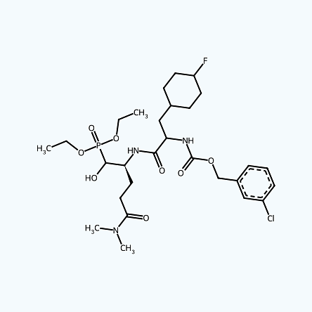 CCOP(=O)(OCC)C(O)[C@H](CCC(=O)N(C)C)NC(=O)C(CC1CCC(F)CC1)NC(=O)OCc1cccc(Cl)c1